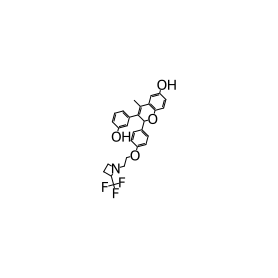 CC1=C(c2cccc(O)c2)C(c2ccc(OCCN3CCC3C(F)(F)F)cc2)Oc2ccc(O)cc21